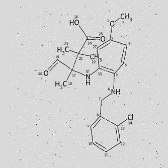 COc1ccc(NCc2ccccc2Cl)c(NC(C)(C=O)C(C)(C)C(=O)O)c1